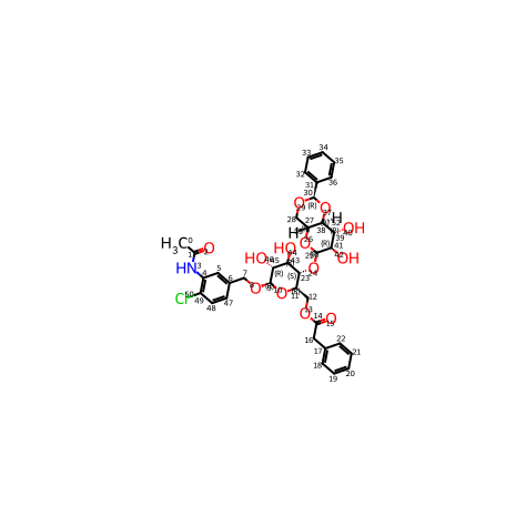 CC(=O)Nc1cc(CO[C@@H]2O[C@H](COC(=O)Cc3ccccc3)[C@@H](O[C@H]3O[C@@H]4CO[C@@H](c5ccccc5)O[C@H]4[C@H](O)[C@H]3O)[C@H](O)[C@H]2O)ccc1Cl